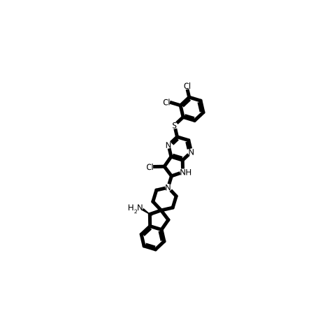 N[C@@H]1c2ccccc2CC12CCN(C1Nc3ncc(Sc4cccc(Cl)c4Cl)nc3C1Cl)CC2